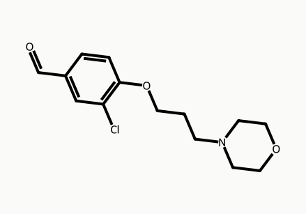 O=Cc1ccc(OCCCN2CCOCC2)c(Cl)c1